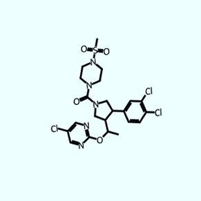 CC(Oc1ncc(Cl)cn1)C1CN(C(=O)N2CCN(S(C)(=O)=O)CC2)CC1c1ccc(Cl)c(Cl)c1